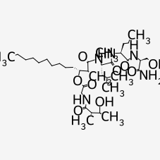 CCCCCCCCCC[C@@H](OC(=O)CNC(=O)[C@@H](C)[C@H](C)O)[C@@H](C)C(=O)N(C)[C@@H](CC(C)C)C(=O)N[C@@H](CCC)C(=O)N[C@@H](CO)C(N)=O